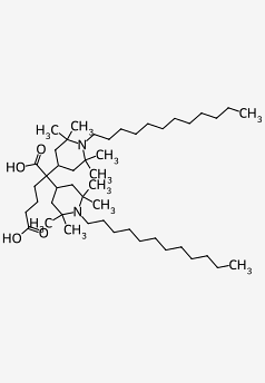 CCCCCCCCCCCCN1C(C)(C)CC(C(CCCC(=O)O)(C(=O)O)C2CC(C)(C)N(CCCCCCCCCCCC)C(C)(C)C2)CC1(C)C